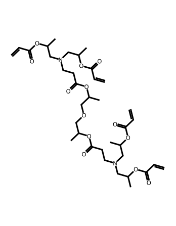 C=CC(=O)OC(C)CN(CCC(=O)OC(C)COCC(C)OC(=O)CCN(CC(C)OC(=O)C=C)CC(C)OC(=O)C=C)CC(C)OC(=O)C=C